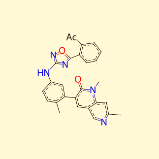 CC(=O)c1ccccc1-c1nc(Nc2ccc(C)c(-c3cc4cnc(C)cc4n(C)c3=O)c2)no1